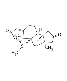 CSC1=CC(=O)C=C2CC[C@H]3[C@@H]4CC(=O)C[C@@]4(C)CC[C@@H]3[C@]21C